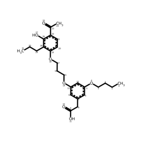 CCCCOc1cc(CC(=O)O)cc(OCCCOc2ccc(C(C)=O)c(O)c2CCC)c1